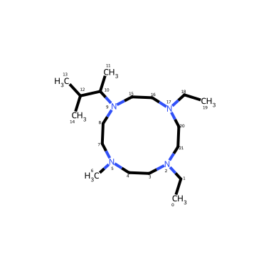 CCN1CCN(C)CCN(C(C)C(C)C)CCN(CC)CC1